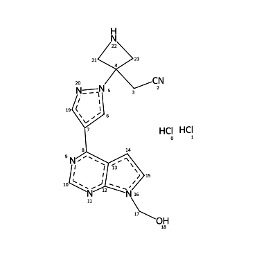 Cl.Cl.N#CCC1(n2cc(-c3ncnc4c3ccn4CO)cn2)CNC1